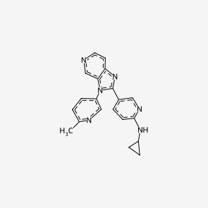 Cc1ccc(-n2c(-c3ccc(NC4CC4)nc3)nc3ccncc32)cn1